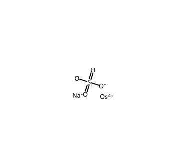 O=S(=O)([O-])[O-].[Na+].[Os+4]